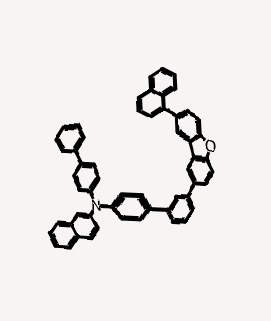 c1ccc(-c2ccc(N(c3ccc(-c4cccc(-c5ccc6oc7ccc(-c8cccc9ccccc89)cc7c6c5)c4)cc3)c3ccc4ccccc4c3)cc2)cc1